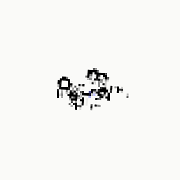 Cc1nn(C)c(-n2ccc3cccnc32)c1/C=C/C(=O)NS(=O)(=O)NC1CCCCC1